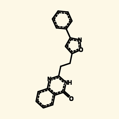 O=c1[nH]c(CCc2cc(-c3ccccc3)no2)nc2ccccc12